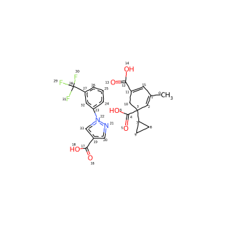 CC1=CC(C(=O)O)(C2CC2)CC(C(=O)O)=C1.O=C(O)c1cnn(-c2cccc(C(F)(F)F)c2)c1